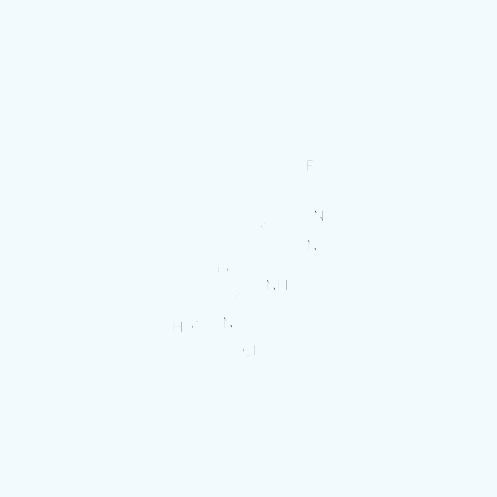 CN(C)C(=O)Nc1nnc(C(F)(F)F)s1